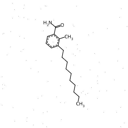 CCCCCCCCCCc1cccc(C(N)=O)c1C